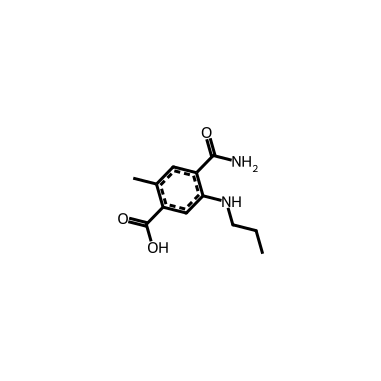 CCCNc1cc(C(=O)O)c(C)cc1C(N)=O